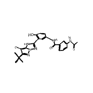 CC(=O)Nc1cccc(C(=O)Nc2ccc(O)c(-c3nn4nc(C(C)(C)C)c(Cl)c4[nH]3)c2)c1